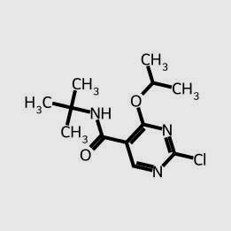 CC(C)Oc1nc(Cl)ncc1C(=O)NC(C)(C)C